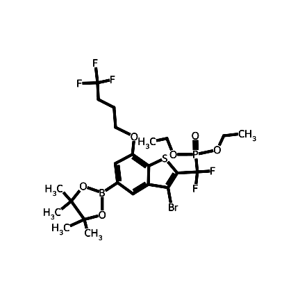 CCOP(=O)(OCC)C(F)(F)c1sc2c(OCCCC(F)(F)F)cc(B3OC(C)(C)C(C)(C)O3)cc2c1Br